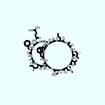 C=C1NC(=O)C([C@@H](C)CC)NC(=O)[C@@H]2CSSC[C@H](NC(=O)CCC(O)O)C(=O)N[C@H](Cc3ccccc3)C(=O)N[C@H](C)C(=O)NC(C[C@@H](C)CC)C(=O)N[C@@H](C(=O)N[C@H](Cc3ccccc3)C(=O)N3CCC[C@@H]3C(=O)N2)[C@@H](C)OC(=O)[C@H](CO)NC(=O)[C@H]([C@@H](C)OC)N(C)C(=O)C(C(C)C)NC(=O)[C@H](C[C@H](C)CC)NC1=O